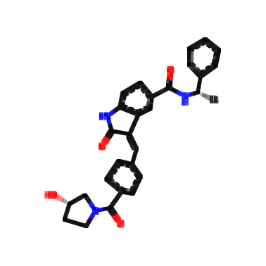 CC[C@H](NC(=O)c1ccc2c(c1)/C(=C/c1ccc(C(=O)N3CC[C@H](O)C3)cc1)C(=O)N2)c1ccccc1